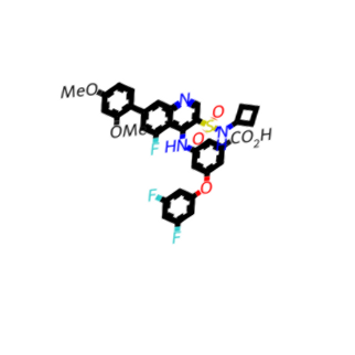 COc1ccc(-c2cc(F)c3c(Nc4cc(Oc5cc(F)cc(F)c5)cc(C(=O)O)c4)c(S(=O)(=O)NC4CCC4)cnc3c2)c(OC)c1